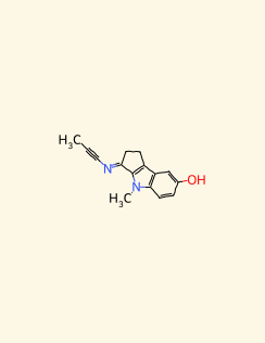 CC#CN=C1CCc2c1n(C)c1ccc(O)cc21